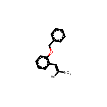 CC(=O)/C(=C\c1ccccc1OCc1ccccc1)[N+](=O)[O-]